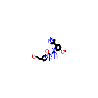 COCCC1CCN(C(=O)Nc2nc3c(-c4cnn(C)c4)ccc(OC)c3[nH]2)C1